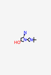 CC(C)(C)N1CC(N2C[C@@H](O)C[C@H]2C#N)C1